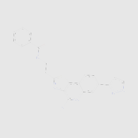 Nc1nc2cc(-c3ccn[nH]3)ccc2c2sc(CCNC(=O)c3ccccc3)nc12